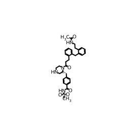 CC(=O)NCCc1ccccc1Cc1ccccc1CCC(=O)N1CCNC[C@H]1Cc1ccc(C(=O)NS(C)(=O)=O)cc1